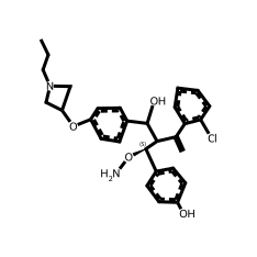 C=C(c1ccccc1Cl)C(C(O)c1ccc(OC2CN(CCC)C2)cc1)[C@H](ON)c1ccc(O)cc1